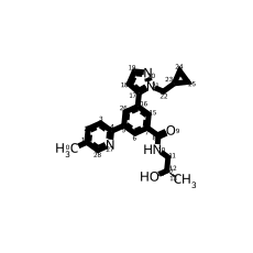 Cc1ccc(-c2cc(C(=O)NC[C@H](C)O)cc(-c3ccnn3CC3CC3)c2)nc1